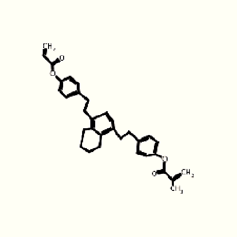 C=CC(=O)Oc1ccc(CCc2ccc(CCc3ccc(OC(=O)C(=C)C)cc3)c3c2CCCC3)cc1